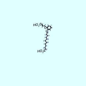 O=C(O)C=CCOc1ccccc1OCCCCCCCCCCCC(=O)O